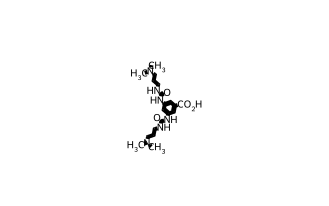 CN(C)CCCNC(=O)Nc1cc(NC(=O)NCCCN(C)C)cc(C(=O)O)c1